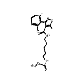 Cc1onc(-c2c(F)cccc2Cl)c1C(=O)NCCCCCNC(=O)OC(C)(C)C